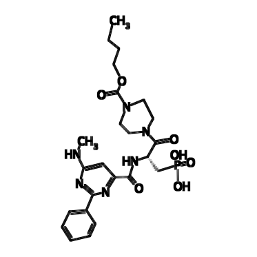 CCCCOC(=O)N1CCN(C(=O)[C@H](CP(=O)(O)O)NC(=O)c2cc(NC)nc(-c3ccccc3)n2)CC1